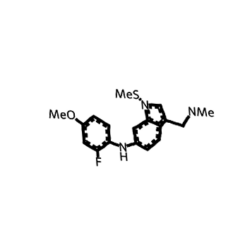 CNCc1cn(SC)c2cc(Nc3ccc(OC)cc3F)ccc12